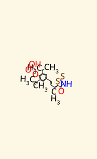 CC(C=Cc1cc(C(C)C)c(OCC(=O)O)c(C(C)C)c1)=C1SC(=S)NC1=O